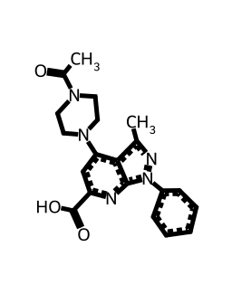 CC(=O)N1CCN(c2cc(C(=O)O)nc3c2c(C)nn3-c2ccccc2)CC1